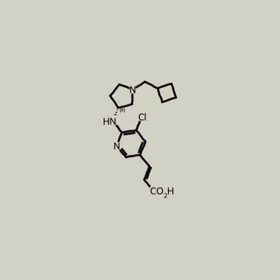 O=C(O)C=Cc1cnc(N[C@@H]2CCN(CC3CCC3)C2)c(Cl)c1